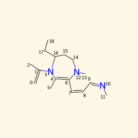 C=C(C)N1C(C)=C(/C=C\C=N/C)N(C)CCC1CC